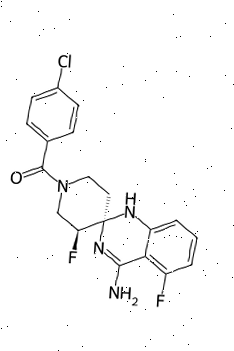 NC1=N[C@]2(CCN(C(=O)c3ccc(Cl)cc3)C[C@@H]2F)Nc2cccc(F)c21